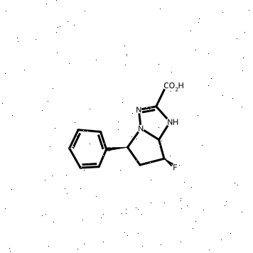 O=C(O)C1=NN2C(N1)[C@@H](F)C[C@H]2c1ccccc1